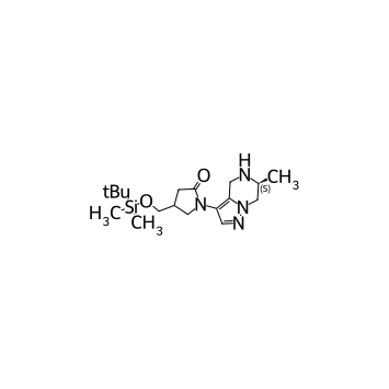 C[C@H]1Cn2ncc(N3CC(CO[Si](C)(C)C(C)(C)C)CC3=O)c2CN1